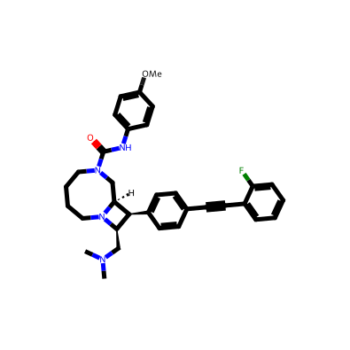 COc1ccc(NC(=O)N2CCCCN3[C@H](CN(C)C)[C@H](c4ccc(C#Cc5ccccc5F)cc4)[C@@H]3C2)cc1